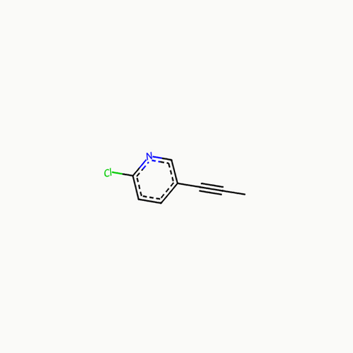 CC#Cc1ccc(Cl)nc1